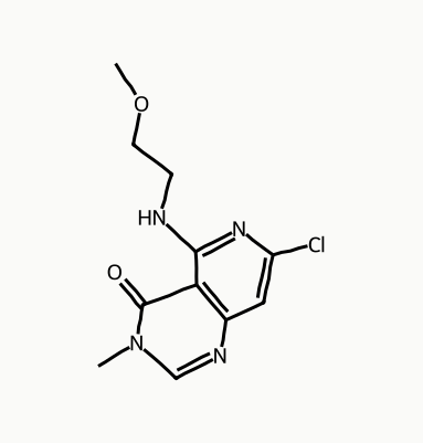 COCCNc1nc(Cl)cc2ncn(C)c(=O)c12